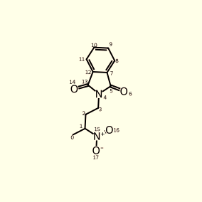 CC(CCN1C(=O)c2ccccc2C1=O)[N+](=O)[O-]